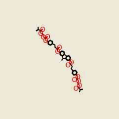 C=C(C)C(=O)OCOC(=O)Oc1ccc(CCC(=O)Oc2ccc3c(c2)C(C)c2cc(OC(=O)CCc4ccc(OC(=O)OCOC(=O)C(=C)C)cc4)ccc2-3)cc1